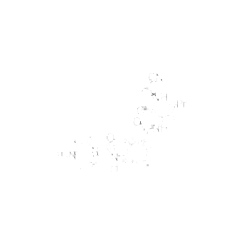 CC(C)CC(NC(=O)c1cccc(NC(=O)N2CCN(C)CC2)c1)C(=O)NCC#N